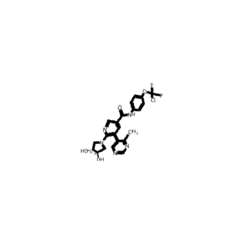 Cc1ncncc1-c1cc(C(=O)Nc2ccc(OC(F)(F)Cl)cc2)cnc1N1C[C@@H](O)[C@H](O)C1